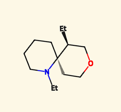 CC[C@H]1COCC[C@]12CCCCN2CC